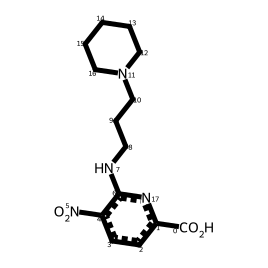 O=C(O)c1ccc([N+](=O)[O-])c(NCCCN2CCCCC2)n1